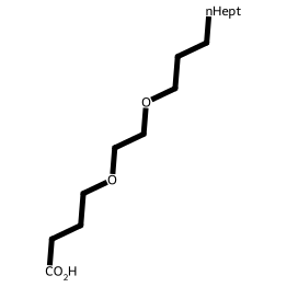 CCCCCCCCCCOCCOCCCC(=O)O